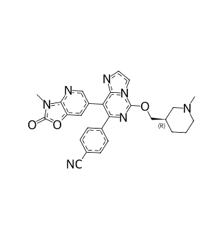 CN1CCC[C@@H](COc2nc(-c3ccc(C#N)cc3)c(-c3cnc4c(c3)oc(=O)n4C)c3nccn23)C1